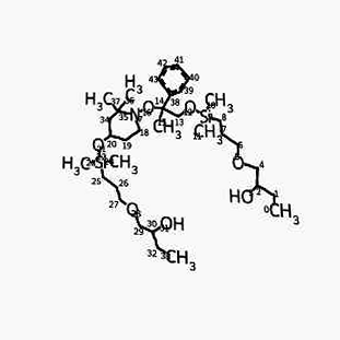 CCC(O)COCCC[Si](C)(C)OCC(C)(ON1CCC(O[Si](C)(C)CCCOCC(O)CC)CC1(C)C)c1ccccc1